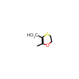 CC1=C(C(=O)O)SCCO1